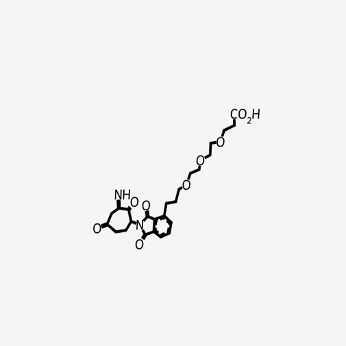 N=C1CC(=O)CCC(N2C(=O)c3cccc(CCCOCCOCCOCCC(=O)O)c3C2=O)C1=O